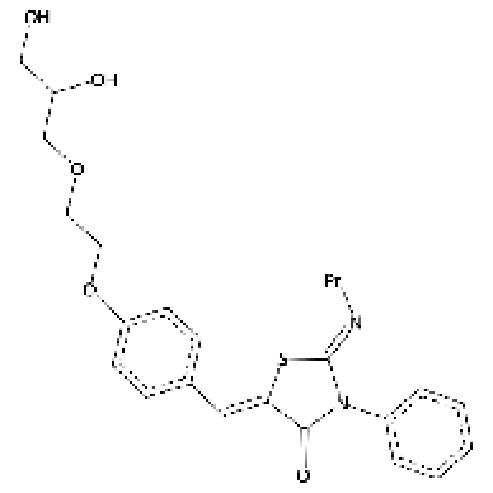 CC(C)/N=C1\S/C(=C\c2ccc(OCCOCC(O)CO)cc2)C(=O)N1c1ccccc1